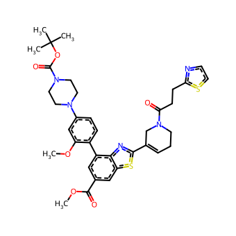 COC(=O)c1cc(-c2ccc(N3CCN(C(=O)OC(C)(C)C)CC3)cc2OC)c2nc(C3=CCCN(C(=O)CCc4nccs4)C3)sc2c1